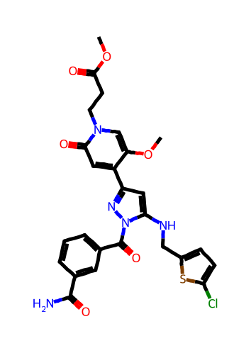 COC(=O)CCn1cc(OC)c(-c2cc(NCc3ccc(Cl)s3)n(C(=O)c3cccc(C(N)=O)c3)n2)cc1=O